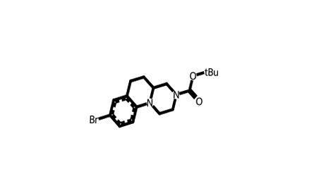 CC(C)(C)OC(=O)N1CCN2c3ccc(Br)cc3CCC2C1